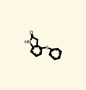 O=C1Cc2c(cccc2Sc2ccccc2)N1